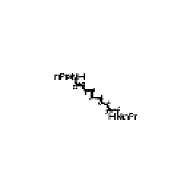 CCCNCCCCCCCCCCNCCC